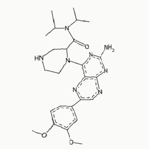 COc1ccc(-c2cnc3nc(N)nc(N4CCNCC4C(=O)N(C(C)C)C(C)C)c3n2)cc1OC